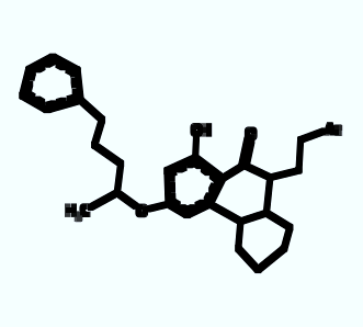 CC(=O)CCC1C(=O)c2c(O)cc(OC(C)CCCc3ccccc3)cc2C2CCCCC12